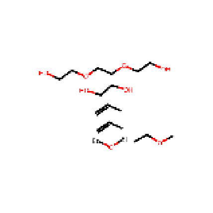 C=CC.C=CC.CCOC.CCOCC.OCCO.OCCOCCOCCO